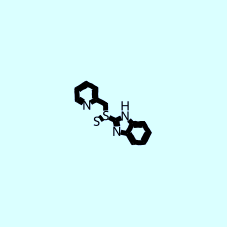 S=S(Cc1ccccn1)c1nc2ccccc2[nH]1